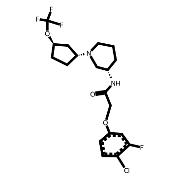 O=C(COc1ccc(Cl)c(F)c1)N[C@H]1CCCN([C@@H]2CC[C@@H](OC(F)(F)F)C2)C1